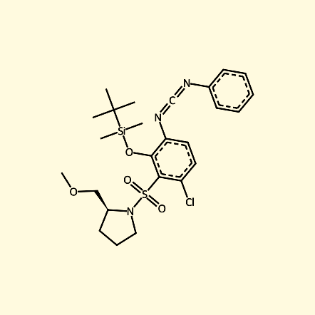 COC[C@@H]1CCCN1S(=O)(=O)c1c(Cl)ccc(N=C=Nc2ccccc2)c1O[Si](C)(C)C(C)(C)C